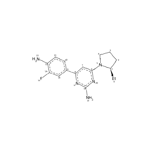 CC[C@@H]1CCCN1c1cc(-c2ccc(N)c(F)c2)nc(N)n1